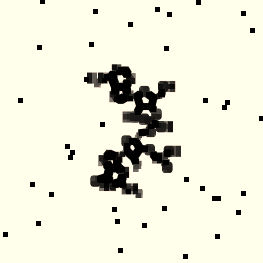 Nc1nc2c(ncn2[C@@H]2O[C@H](COP(=O)(O)OC3C(O)[C@H](n4cnc5c(N)ncnc54)O[C@@H]3CO)C(OC[PH](=O)O)C2F)c(=O)[nH]1